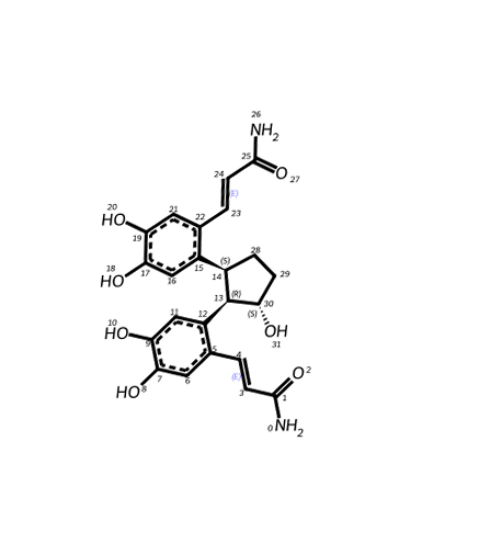 NC(=O)/C=C/c1cc(O)c(O)cc1[C@H]1[C@@H](c2cc(O)c(O)cc2/C=C/C(N)=O)CC[C@@H]1O